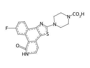 O=C(O)N1CCN(c2nc3c4ccc(F)cc4c4c(=O)[nH]ccc4c3s2)CC1